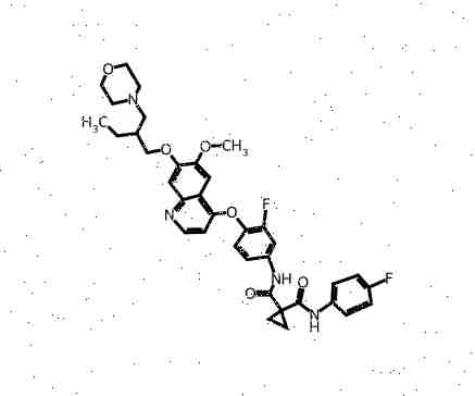 CCC(COc1cc2nccc(Oc3ccc(NC(=O)C4(C(=O)Nc5ccc(F)cc5)CC4)cc3F)c2cc1OC)CN1CCOCC1